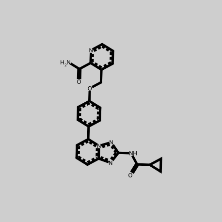 NC(=O)c1ncccc1COc1ccc(-c2cccc3nc(NC(=O)C4CC4)nn23)cc1